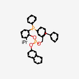 CC(C)c1cccc(P(c2ccccc2)c2ccccc2)c1OP(OC/C=C\c1ccccc1)Oc1ccc2ccccc2c1